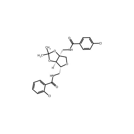 CC1(C)O[C@@H]2[C@@H](CNC(=O)c3ccccc3Cl)OC[C@]2(CNC(=O)c2ccc(Cl)cc2)O1